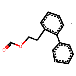 O=[C]OCCc1ccccc1-c1ccccc1